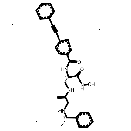 C[C@H](NCC(=O)NC[C@H](NC(=O)c1ccc(C#Cc2ccccc2)cc1)C(=O)NO)c1ccccc1